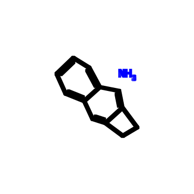 N.c1ccc2cc3c(cc2c1)CC3